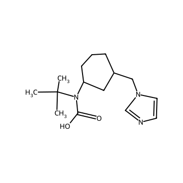 CC(C)(C)N(C(=O)O)C1CCCC(Cn2ccnc2)C1